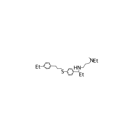 CCc1ccc(CCCSc2ccc(C(CC)NCCCN(C)CC)cc2)cc1